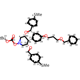 CSc1ccc(CO[C@H]2CN(OC(=O)OC(C)(C)C)C[C@@H](OCc3ccc(SC)cc3)[C@H]2c2ccc(OCCCOCc3ccccc3)cc2)cc1